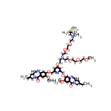 C/C=C1\C[C@H]2C=Nc3cc(OCc4cc(OCCN(CCOCCOCCOC)CCOCCOCCN(C)CC(C)(C)SC)cc(COc5cc6c(cc5OC)C(=O)N5C/C(=C/C)C[C@H]5C=N6)n4)c(OC)cc3C(=O)N2C1